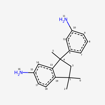 CC1(C)CC(C)(c2cccc(N)c2)c2cc(N)ccc21